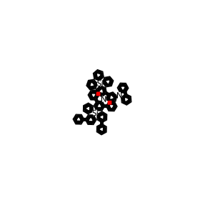 c1ccc(-c2cccc([Si](c3ccccc3)(c3cccc(-c4ccccc4)c3)c3cc(-c4ccccc4)c(-n4c5ccc(-n6c7ccccc7c7ccccc76)cc5c5cc([Si](c6ccccc6)(c6ccccc6)c6ccccc6)ccc54)c(-c4ccccc4)c3)c2)cc1